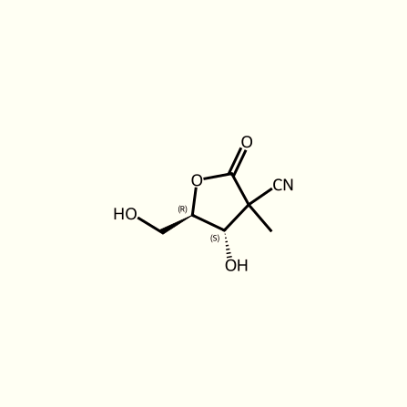 CC1(C#N)C(=O)O[C@H](CO)[C@H]1O